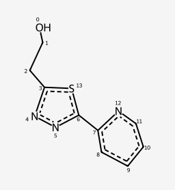 OCCc1nnc(-c2ccccn2)s1